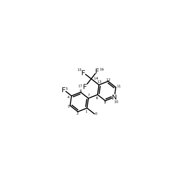 Cc1ccc(F)cc1-c1cnccc1C(F)(F)F